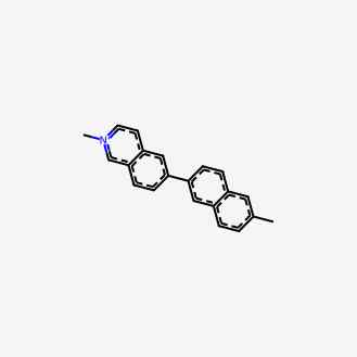 Cc1ccc2cc(-c3ccc4c[n+](C)ccc4c3)ccc2c1